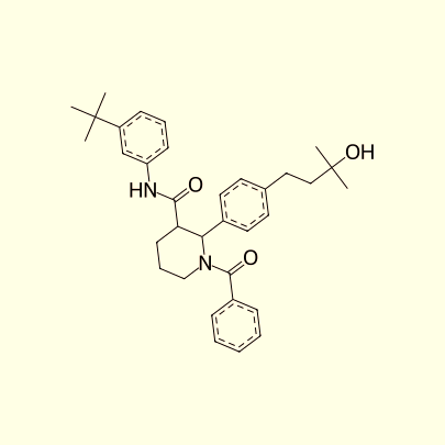 CC(C)(O)CCc1ccc(C2C(C(=O)Nc3cccc(C(C)(C)C)c3)CCCN2C(=O)c2ccccc2)cc1